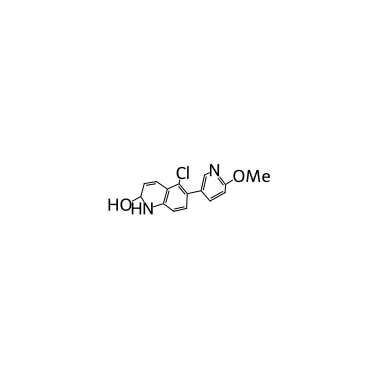 COc1ccc(-c2ccc3c(c2Cl)C=CC(O)N3)cn1